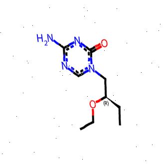 CCO[C@H](CC)Cn1cnc(N)nc1=O